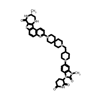 C[C@@H]1CNc2c(sc3ccc4nc(N5CCC6(CCN(CC7CCN(c8ccc9c(c8)n(C)c(=O)n9C8CCC(=O)NC8=O)CC7)CC6)CC5)ccc4c23)C(=O)N1